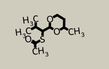 CC(=O)SC(C(C)C)C1OCCC(C)O1